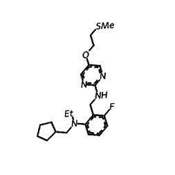 CCN(CC1CCCC1)c1cccc(F)c1CNc1ncc(OCCSC)cn1